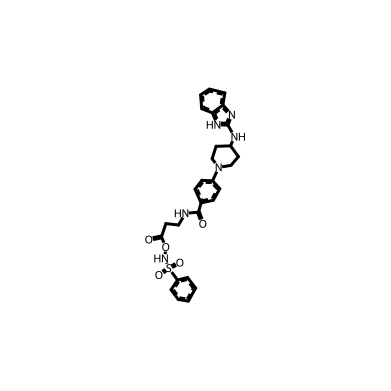 O=C(CCNC(=O)c1ccc(N2CCC(Nc3nc4ccccc4[nH]3)CC2)cc1)ONS(=O)(=O)c1ccccc1